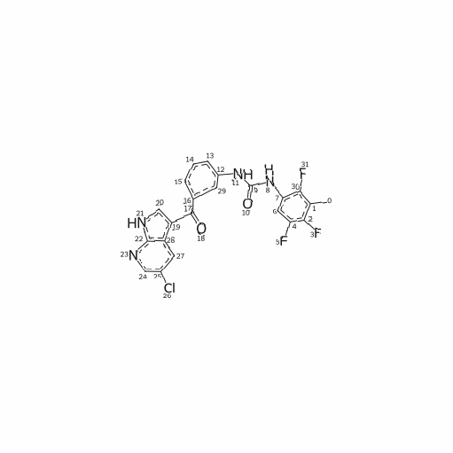 Cc1c(F)c(F)cc(NC(=O)Nc2cccc(C(=O)c3c[nH]c4ncc(Cl)cc34)c2)c1F